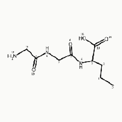 CCCC(NC(=O)CNC(=O)CN)C(=O)O